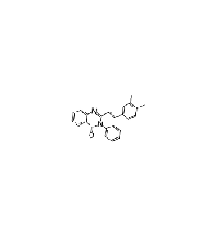 Cc1ccc(C=Cc2nc3ccccc3c(=O)n2-c2ccccc2)cc1C